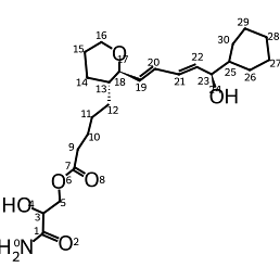 NC(=O)C(O)COC(=O)CCCC[C@@H]1CCCO[C@H]1/C=C/C=C/[C@H](O)C1CCCCC1